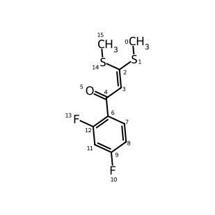 CSC(=CC(=O)c1ccc(F)cc1F)SC